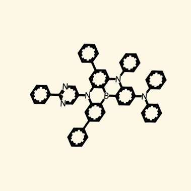 c1ccc(-c2ccc3c(c2)N(c2cnc(-c4ccccc4)nc2)c2cc(-c4ccccc4)cc4c2B3c2ccc(N(c3ccccc3)c3ccccc3)cc2N4c2ccccc2)cc1